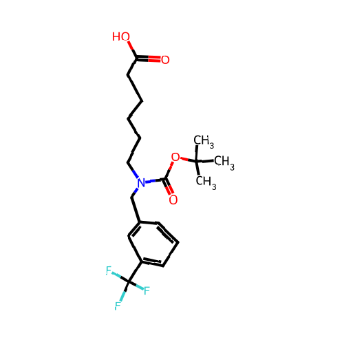 CC(C)(C)OC(=O)N(CCCCCC(=O)O)Cc1cccc(C(F)(F)F)c1